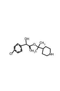 CC(C)(OC(=O)C(O)c1ccc(Cl)cc1)C1CCNCC1